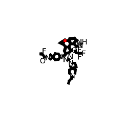 C=C(F)C(=O)N1CC2(CCN(c3nc(N4CCC5(CCN(CCC)CC5)C4)nc4c(OCC(F)(F)F)c(-c5c(C)ccc6[nH]ncc56)c(C5CC5)cc34)CC2)C1